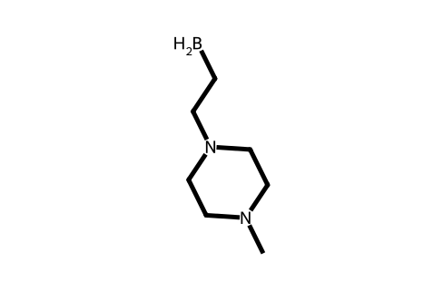 BCCN1CCN(C)CC1